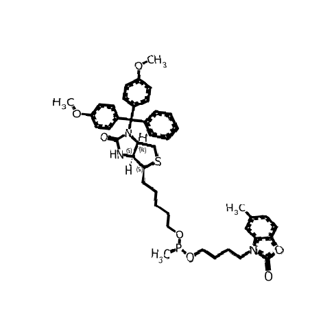 COc1ccc(C(c2ccccc2)(c2ccc(OC)cc2)N2C(=O)N[C@@H]3[C@H](CCCCCOP(C)OCCCCn4c(=O)oc5ccc(C)cc54)SC[C@@H]32)cc1